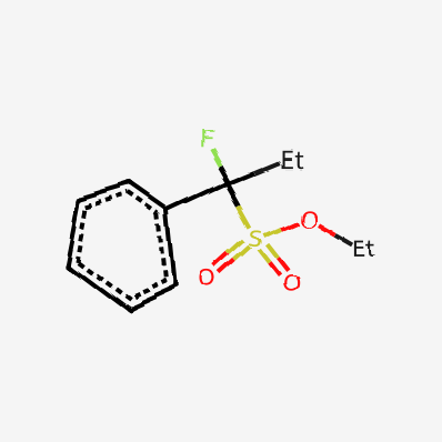 CCOS(=O)(=O)C(F)(CC)c1ccccc1